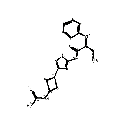 CCC(Oc1ccccc1)C(=O)Nc1cc(C2CC(NC(C)=O)C2)n[nH]1